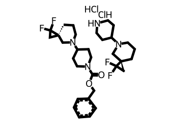 Cl.Cl.FC1(F)C[C@@]12CCCN(C1CCNCC1)C2.O=C(OCc1ccccc1)N1CCC(N2CCC[C@]3(C2)CC3(F)F)CC1